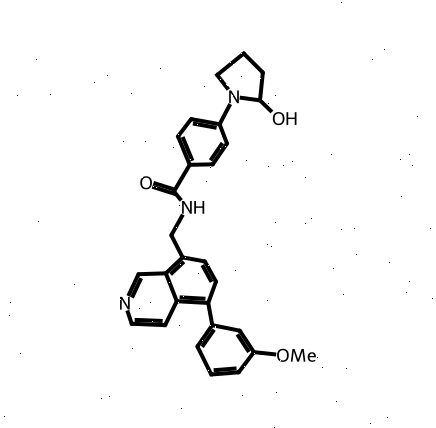 COc1cccc(-c2ccc(CNC(=O)c3ccc(N4CCCC4O)cc3)c3cnccc23)c1